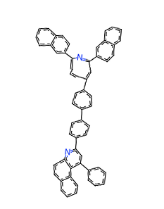 C1=C/C(c2ccc(-c3ccc(-c4cc(-c5ccccc5)c5c(ccc6ccccc65)n4)cc3)cc2)=C\C(c2ccc3ccccc3c2)=N/C(c2ccc3ccccc3c2)=C/1